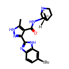 Cc1[nH]nc(-c2nc3ccc(C(C)(C)C)cc3[nH]2)c1C(=O)N[C@@H]1CN2CCC1CC2